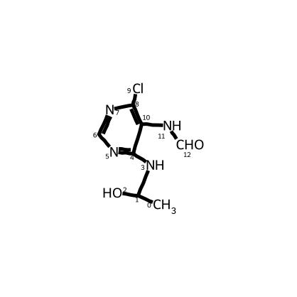 CC(O)Nc1ncnc(Cl)c1NC=O